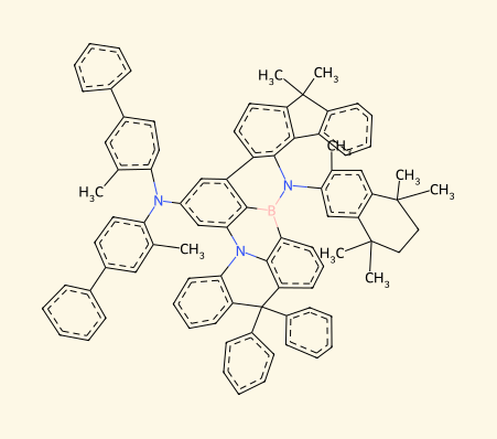 Cc1cc2c(cc1N1B3c4cccc5c4N(c4ccccc4C5(c4ccccc4)c4ccccc4)c4cc(N(c5ccc(-c6ccccc6)cc5C)c5ccc(-c6ccccc6)cc5C)cc(c43)-c3ccc4c(c31)-c1ccccc1C4(C)C)C(C)(C)CCC2(C)C